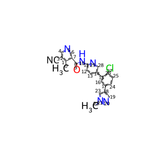 Cc1c(C#N)cncc1C(=O)Nc1ccc(-c2cc(-c3cnn(C)c3)ccc2Cl)cn1